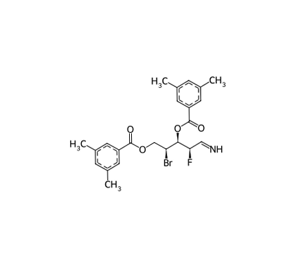 Cc1cc(C)cc(C(=O)OC[C@H](Br)[C@@H](OC(=O)c2cc(C)cc(C)c2)[C@H](F)C=N)c1